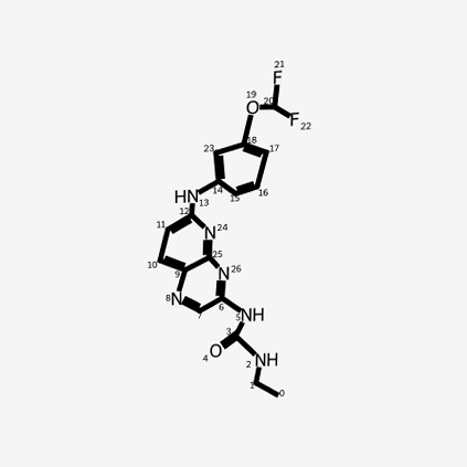 CCNC(=O)Nc1cnc2ccc(Nc3cccc(OC(F)F)c3)nc2n1